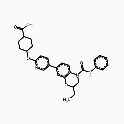 CCC1CN(C(=O)Nc2ccccc2)c2ccc(-c3ccc(OC4CCC(C(=O)O)CC4)nc3)cc2O1